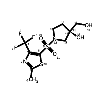 Cc1nc(C(F)(F)F)c(S(=O)(=O)N2CC[C@](O)(CO)C2)s1